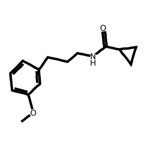 COc1cccc(CCCNC(=O)C2CC2)c1